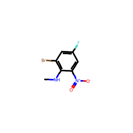 CNc1c(Br)cc(F)cc1[N+](=O)[O-]